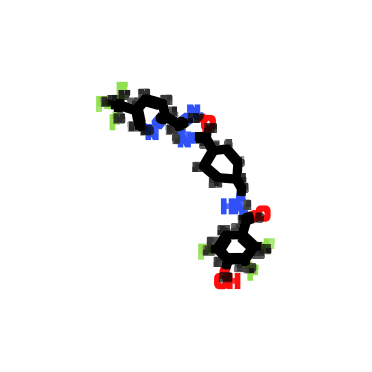 O=C(NCC1CCC(c2nc(-c3ccc(C(F)(F)F)cn3)no2)CC1)c1cc(F)c(O)c(F)c1F